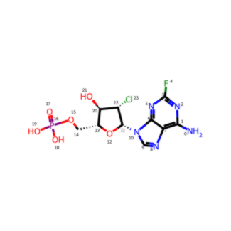 Nc1nc(F)nc2c1ncn2[C@@H]1O[C@H](COP(=O)(O)O)[C@@H](O)[C@@H]1Cl